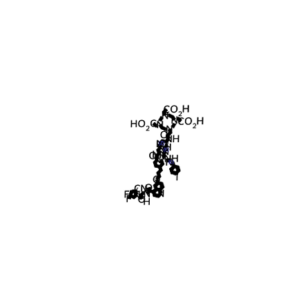 N#C[C@H]1CC(F)(F)CN1C(=O)CNC(=O)c1ccnc2ccc(OCCCC3CCN(C(=O)CCN/N=C\[C@H](C/C=N/NCN/N=C/c4ccc(I)cc4)NC(=O)CN4CCN(CC(=O)O)CCN(CC(=O)O)CCN(CC(=O)O)CC4)CC3)cc12